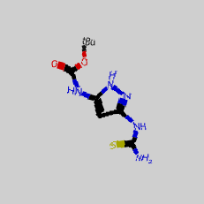 CC(C)(C)OC(=O)Nc1cc(NC(N)=S)n[nH]1